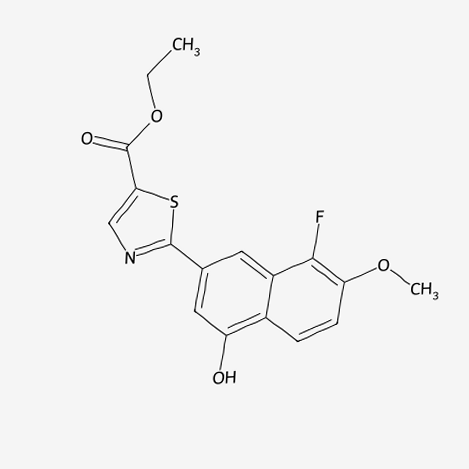 CCOC(=O)c1cnc(-c2cc(O)c3ccc(OC)c(F)c3c2)s1